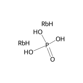 O=P(O)(O)O.[RbH].[RbH]